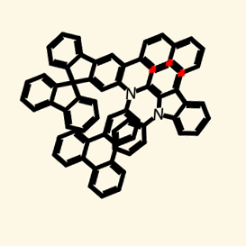 c1ccc(-n2c3ccccc3c3cccc(N(c4ccc5c6ccccc6c6ccccc6c5c4)c4cc5c(cc4-c4ccc6ccccc6c4)-c4ccccc4C54c5ccccc5-c5ccccc54)c32)cc1